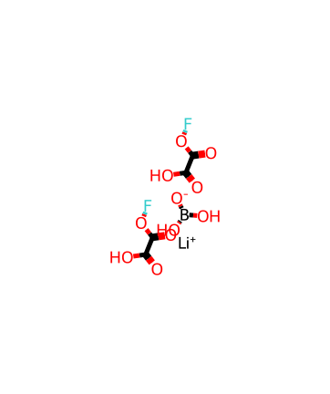 O=C(O)C(=O)OF.O=C(O)C(=O)OF.[Li+].[O-]B(O)O